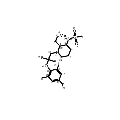 COC[C@H]1C(NS(C)(=O)=O)CCCN1CC(F)(F)Oc1c(C)cc(F)cc1F